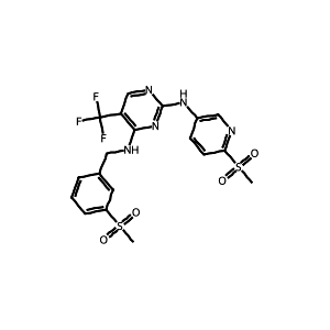 CS(=O)(=O)c1cccc(CNc2nc(Nc3ccc(S(C)(=O)=O)nc3)ncc2C(F)(F)F)c1